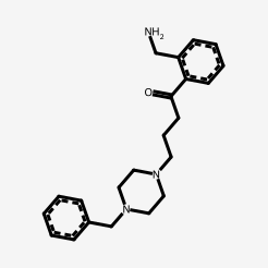 NCc1ccccc1C(=O)CCCN1CCN(Cc2ccccc2)CC1